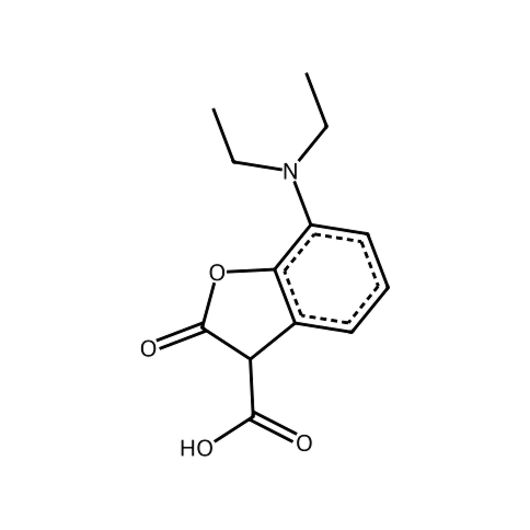 CCN(CC)c1cccc2c1OC(=O)C2C(=O)O